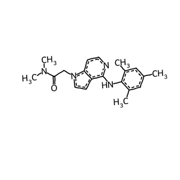 Cc1cc(C)c(Nc2nccc3c2ccn3CC(=O)N(C)C)c(C)c1